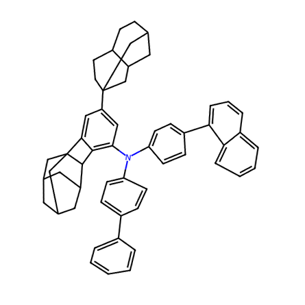 c1ccc(-c2ccc(N(c3ccc(-c4cccc5ccccc45)cc3)c3cc(C45CCC6CCC(CC6C4)C5)cc4c3C3C5CC6CC(C5)CC43C6)cc2)cc1